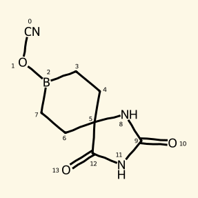 N#COB1CCC2(CC1)NC(=O)NC2=O